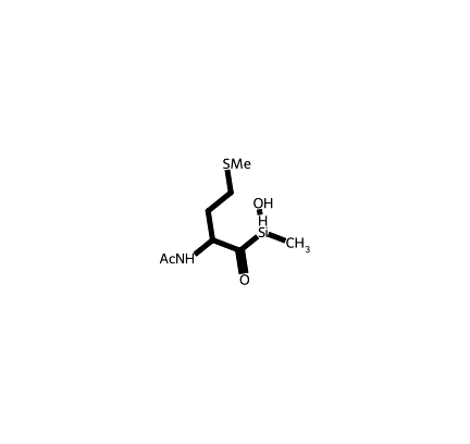 CSCCC(NC(C)=O)C(=O)[SiH](C)O